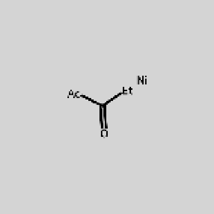 CCC(=O)C(C)=O.[Ni]